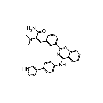 CN(C)/C(=C/c1cccc(-c2nc(Nc3ccc(-c4cn[nH]c4)cc3)c3ccccc3n2)c1)C(N)=O